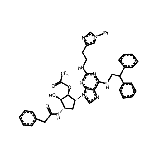 CC(C)n1cnc(CCNc2nc(NCC(c3ccccc3)c3ccccc3)c3ncn([C@@H]4C[C@H](NC(=O)Cc5ccccc5)[C@@H](O)[C@H]4OC(=O)C(F)(F)F)c3n2)c1